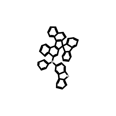 c1ccc(N(c2ccc3sc4ccccc4c3c2)c2cc3c(c4ccccc24)-c2c(ccc4ccccc24)C32c3ccccc3-c3ccccc32)cc1